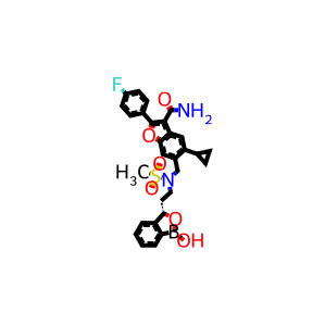 CS(=O)(=O)N(CC[C@@H]1OB(O)c2ccccc21)Cc1cc2oc(-c3ccc(F)cc3)c(C(N)=O)c2cc1C1CC1